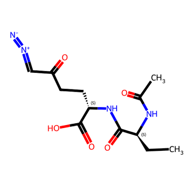 CC[C@H](NC(C)=O)C(=O)N[C@@H](CCC(=O)C=[N+]=[N-])C(=O)O